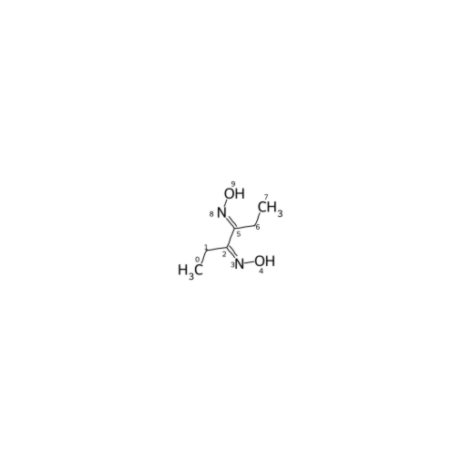 CCC(=NO)C(CC)=NO